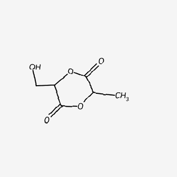 CC1OC(=O)C(CO)OC1=O